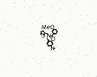 COc1cccc(C(=O)N(Cc2ccc(N(C)C)cc2)CC2CC=CO2)c1